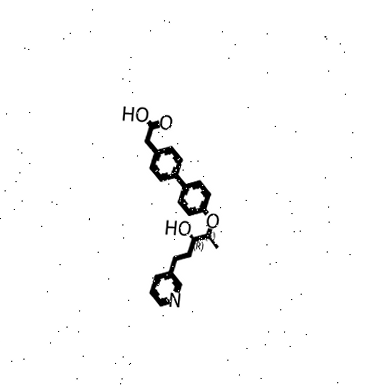 C[C@H](Oc1ccc(-c2ccc(CC(=O)O)cc2)cc1)[C@H](O)CCc1cccnc1